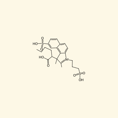 CCCCC(C(=O)O)C1(C)C(C)=[N+](CCCS(=O)(=O)O)c2ccc3ccc(S(=O)(=O)O)cc3c21